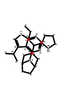 CCOC(C1CC2CCC(C1)N2c1ncnc2scc(C(C)C)c12)C1CCCN1